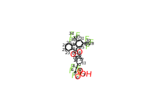 O=S(=O)(O)C(F)(F)C(F)(F)C1CC2CC1C1OC(c3ccccc3)(c3cc(C(F)(F)F)cc(C(F)(F)F)c3)OC21